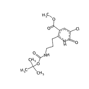 COC(=O)c1cc(Cl)c(=O)[nH]c1CCCNC(=O)OC(C)(C)C